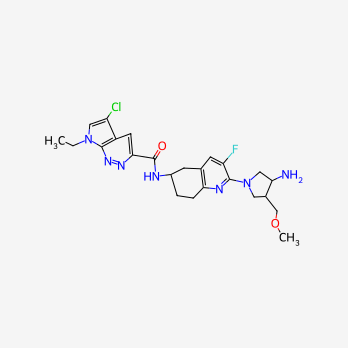 CCn1cc(Cl)c2cc(C(=O)NC3CCc4nc(N5CC(N)C(COC)C5)c(F)cc4C3)nnc21